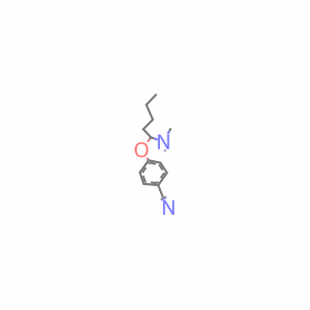 CCCCC(Oc1ccc(C#N)cc1)N(C)C